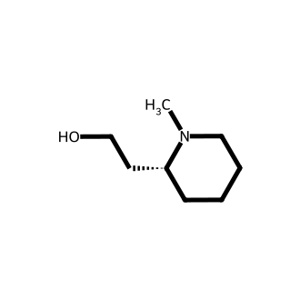 CN1CCCC[C@@H]1CCO